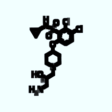 NC[C@@H](O)CN1CCC(Oc2ccc(Cl)c(Cl)c2S(=O)(=O)NC2CC2)CC1